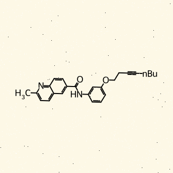 CCCCC#CCCOc1cccc(NC(=O)c2ccc3nc(C)ccc3c2)c1